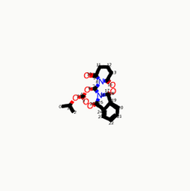 CC(C)OC(=O)OC(N1C(=O)CCCC1=O)N1C(=O)c2ccccc2C1=O